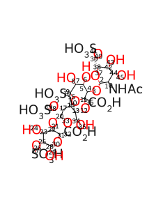 CC(=O)N[C@H]1[C@@H](OC2C(O)C(O)COC2(O[C@H]2[C@H](CS(=O)(=O)O)[C@@H](OS(=O)(=O)O)[C@@H](O[C@H]3[C@H](O)[C@@H](OS(=O)(=O)O)C(O)O[C@H]3C(=O)O)O[C@@H]2O)C(=O)O)O[C@H](COS(=O)(=O)O)[C@@H](O)[C@@H]1O